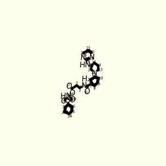 O=C(CCNC(=O)c1cccc(N2CCC[C@@H](Nc3ncccn3)C2)c1)ONS(=O)(=O)c1ccccc1